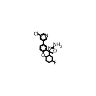 NC1=NC2(CO1)c1cc(-c3cncc(Cl)c3)ccc1OC1CCC(F)CC12